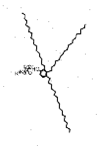 CCCCCCCCCCCCCCCCCCc1ccc(O)c(CCCCCCCCCCCCCCCCCC)c1CCCCCCCCCCCCCCCCCC.O=P([O-])([O-])[O-].[K+].[K+].[K+]